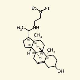 CCN(CC)CCNC(C)[C@H]1CC[C@H]2[C@@H]3CC=C4CC(O)CC[C@]4(C)[C@H]3CC[C@]12C